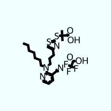 CCCCCCCN(CCCc1csc(SC(C)(C)C(=O)O)n1)c1ncccc1C#N.O=C(O)C(F)(F)F